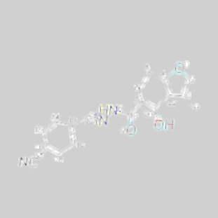 Cc1coc2ccc(C(=O)N/N=C/c3ccc(C#N)cc3)c(O)c12